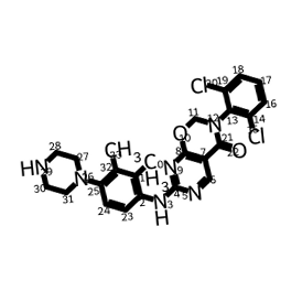 Cc1c(Nc2ncc3c(n2)OCN(c2c(Cl)cccc2Cl)C3=O)ccc(N2CCNCC2)c1C